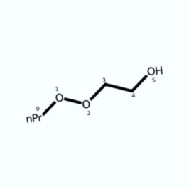 CCCOOCCO